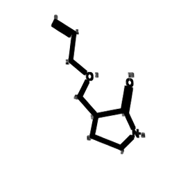 C=CCOCC1CC[N]C1=O